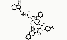 O=C(CN1CN(c2ccccc2)C2(CCN(C(=O)[C@@H](Cc3ccc(Cl)cc3)NC(=O)[C@H]3Cc4ccccc4CN3)CC2)C1=O)NCCc1c[nH]c2c1C=CCC2